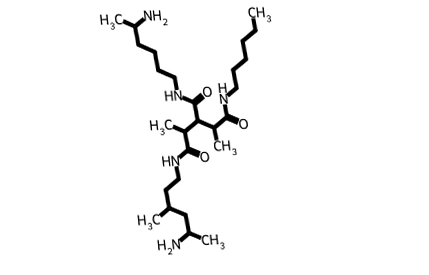 CCCCCCNC(=O)C(C)C(C(=O)NCCCCC(C)N)C(C)C(=O)NCCC(C)CC(C)N